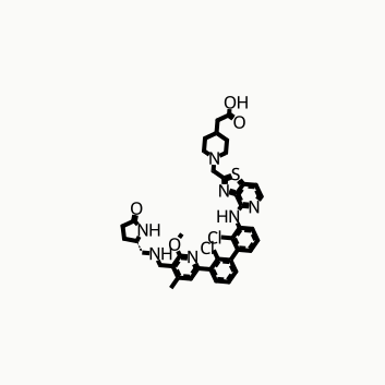 COc1nc(-c2cccc(-c3cccc(Nc4nccc5sc(CN6CCC(CC(=O)O)CC6)nc45)c3Cl)c2Cl)cc(C)c1CNC[C@@H]1CCC(=O)N1